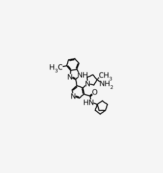 Cc1cccc2[nH]c(-c3cncc(C(=O)NC45CCC(CC4)C5)c3N3CC[C@](C)(N)C3)nc12